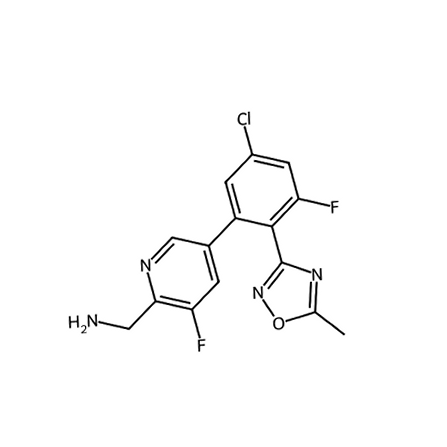 Cc1nc(-c2c(F)cc(Cl)cc2-c2cnc(CN)c(F)c2)no1